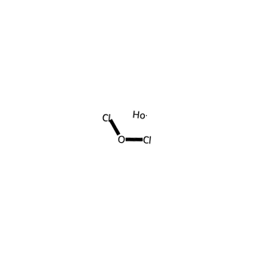 ClOCl.[Ho]